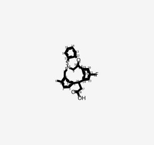 Cc1ccc2cc1CN1C[C@H](Oc3ccccc3S1)c1cc(F)cc(c1)C2CC(=O)O